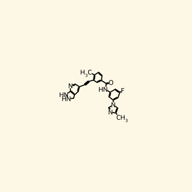 Cc1cn(-c2cc(F)cc(NC(=O)c3ccc(C)c(C#Cc4cnc5c(c4)CNN5)c3)c2)cn1